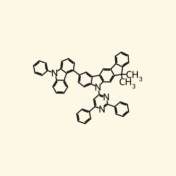 CC1(C)c2ccccc2-c2cc3c4cc(-c5cccc6c5c5ccccc5n6-c5ccccc5)ccc4n(-c4cc(-c5ccccc5)nc(-c5ccccc5)n4)c3cc21